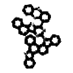 c1ccc2c(c1)Sc1cccc(-c3nc(-n4c5ccccc5c5ccc6c7c8ccccc8sc7c7ccccc7c6c54)nc4c3oc3c5ccccc5ccc43)c1S2